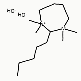 CCCCCC1[N+](C)(C)CCCC[N+]1(C)C.[OH-].[OH-]